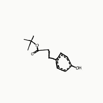 CC(C)(C)OC(=O)CCc1ccc(O)cc1